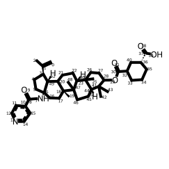 C=C(C)[C@@H]1CC[C@]2(NC(=O)c3ccncc3)CC[C@]3(C)C(CC[C@@H]4C5(C)CCC(OC(=O)C6CCC[C@@H](C(=O)O)C6)C(C)(C)[C@@H]5CCC43C)[C@@H]12